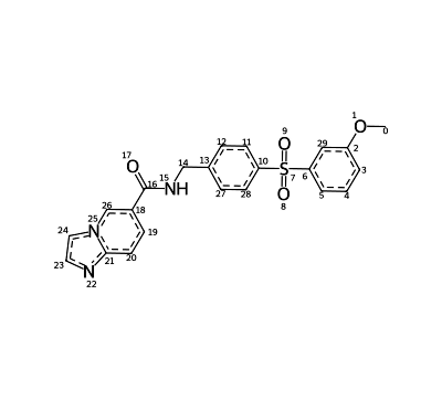 COc1cccc(S(=O)(=O)c2ccc(CNC(=O)c3ccc4nccn4c3)cc2)c1